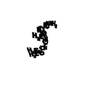 CN(C)C(=O)c1ccc(C2=CCN(Cc3cc4c(-c5ccc(N)nn5)ccnc4n3C)CC2)nc1